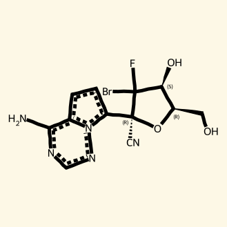 N#C[C@@]1(c2ccc3c(N)ncnn23)O[C@H](CO)[C@H](O)C1(F)Br